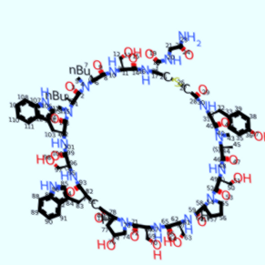 CCCC[C@H]1C(=O)N(C)[C@@H](CCCC)C(=O)N[C@@H](CO)C(=O)N[C@H](C(=O)NCC(N)=O)CSCC(=O)N[C@@H](Cc2ccc(O)cc2)C(=O)N(C)[C@@H](C)C(=O)N[C@@H](CO)C(=O)N2CCC[C@H]2C(=O)N[C@@H](CO)C(=O)N[C@@H](CO)C(=O)N2C[C@H](O)C[C@H]2C(=O)C[C@@H](Cc2c[nH]c3ccccc23)C(=O)N[C@@H](CO)C(=O)N[C@@H](Cc2c[nH]c3ccccc23)C(=O)N1C